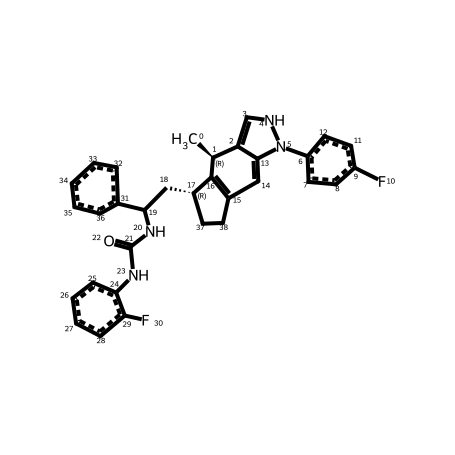 C[C@H]1C2=CNN(c3ccc(F)cc3)C2=CC2=C1[C@@H](CC(NC(=O)Nc1ccccc1F)c1ccccc1)CC2